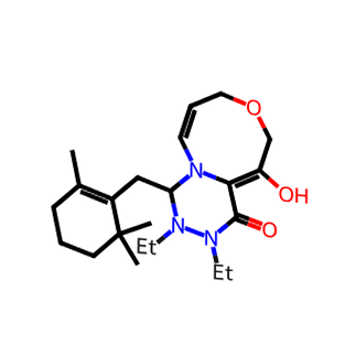 CCN1C(=O)/C2=C(\O)COC/C=C\N2C(CC2=C(C)CCCC2(C)C)N1CC